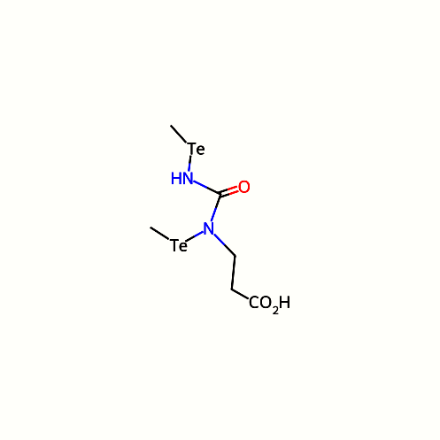 C[Te]NC(=O)N(CCC(=O)O)[Te]C